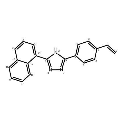 C=Cc1ccc(-c2nnc(-c3cccc4ccccc34)[nH]2)cc1